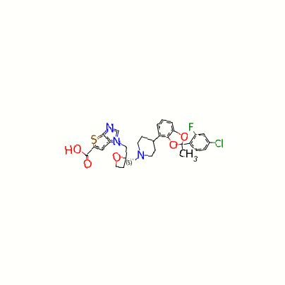 CC1(c2ccc(Cl)cc2F)Oc2cccc(C3CCN(C[C@]4(Cn5cnc6sc(C(=O)O)cc65)CCO4)CC3)c2O1